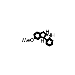 COc1ccc2c(c1)[C@@H]1c3ccccc3N[C@@H]1C2